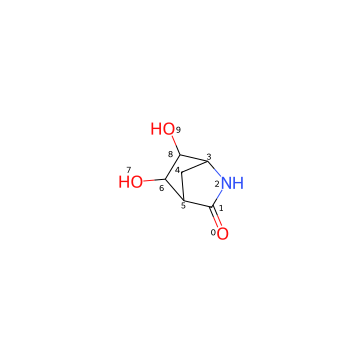 O=C1NC2CC1C(O)C2O